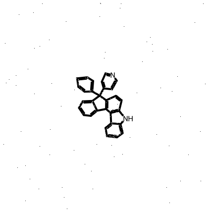 c1ccc(C2(c3ccncc3)c3ccccc3-c3c2ccc2[nH]c4ccccc4c32)cc1